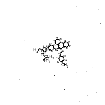 CC1=[C]([Ti][SiH](C)C)CC=C1.Cc1ccc(C=CC(=C(Oc2ccccc2)c2ccccc2)c2ccccc2)cc1